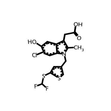 Cc1c(CC(=O)O)c2cc(O)c(Cl)cc2n1Cc1csc(SC(F)F)c1